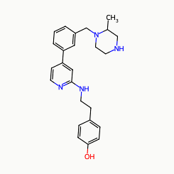 CC1CNCCN1Cc1cccc(-c2ccnc(NCCc3ccc(O)cc3)c2)c1